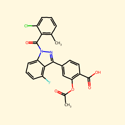 CC(=O)Oc1cc(-c2nn(C(=O)c3c(C)cccc3Cl)c3cccc(F)c23)ccc1C(=O)O